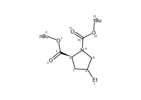 CCCCOC(=O)[C@@H]1CC(CC)CN1C(=O)OC(C)(C)C